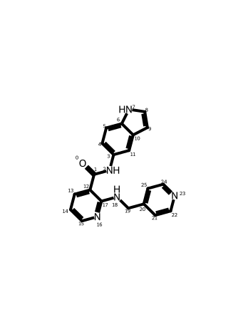 O=C(Nc1ccc2[nH]ccc2c1)c1cccnc1NCc1ccncc1